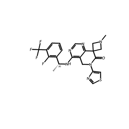 C[C@@H](Nc1ncnc2c1CN(c1cscn1)C(=O)C21CN(C)C1)c1cccc(C(F)(F)F)c1F